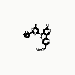 COCc1ccc(-c2cnc(Cl)cc2Nc2cc(C)nc(C34CC(CO3)C4)n2)nc1